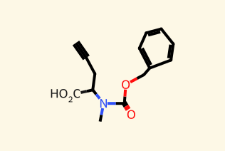 C#CCC(C(=O)O)N(C)C(=O)OCc1ccccc1